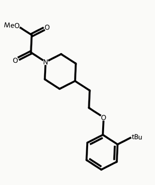 COC(=O)C(=O)N1CCC(CCOc2ccccc2C(C)(C)C)CC1